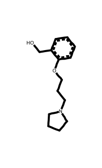 OCc1ccccc1OCCCN1CCCC1